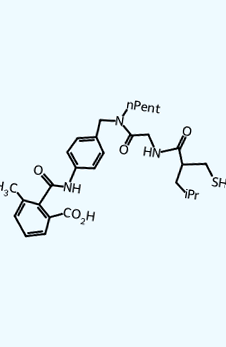 CCCCCN(Cc1ccc(NC(=O)c2c(C)cccc2C(=O)O)cc1)C(=O)CNC(=O)C(CS)CC(C)C